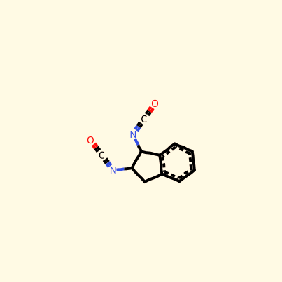 O=C=NC1Cc2ccccc2C1N=C=O